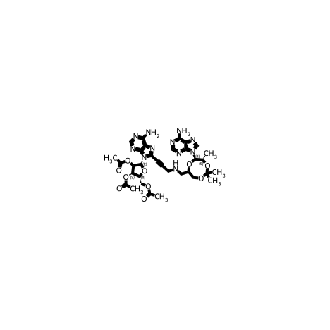 CC(=O)OC[C@H]1O[C@@H](n2c(C#CCNCC3COC(C)(C)O[C@@H](C)[C@H](n4cnc5c(N)ncnc54)O3)nc3c(N)ncnc32)C(OC(C)=O)[C@H]1OC(C)=O